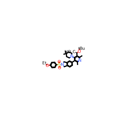 CCOc1ccc(S(=O)(=O)N2Cc3ccc(-c4c(C)nc(C)c([C@H](OC(C)(C)C)C(=O)O)c4N4CCC(C)(C)CC4)cc3C2)cc1